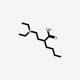 CCCCC(CCN(CC)CC)C(=O)O